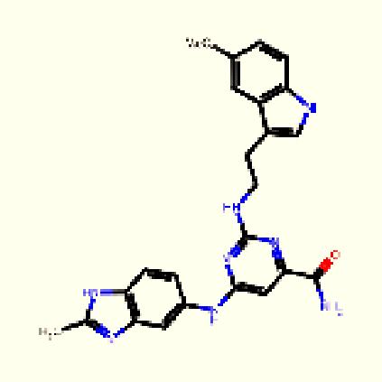 COc1ccc2[nH]cc(CCNc3nc(Nc4ccc5[nH]c(C)nc5c4)cc(C(N)=O)n3)c2c1